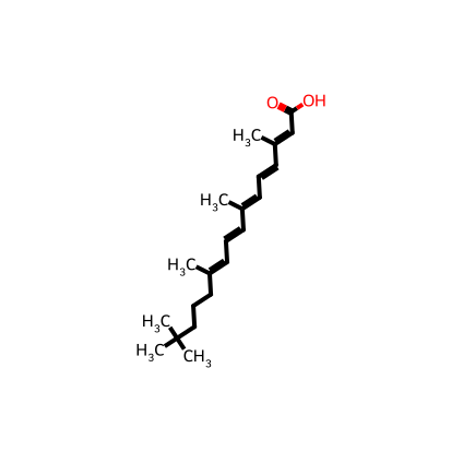 CC(/C=C/C=C(\C)CCCC(C)(C)C)=C\C=C\C(C)=C\C(=O)O